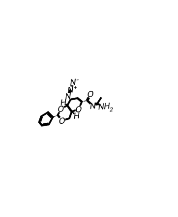 C/C(N)=N\C(=O)[C@H]1CC(N=[N+]=[N-])[C@H]2O[C@@H](c3ccccc3)OC[C@H]2O1